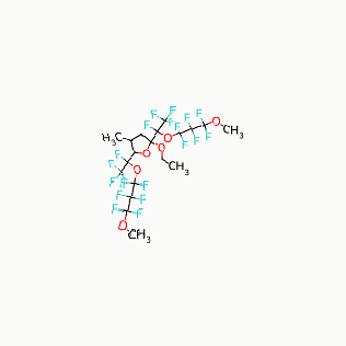 CCOC1(C(F)(OC(F)(F)C(F)(F)C(F)(F)OC)C(F)(F)F)CC(C)C(C(F)(OC(F)(F)C(F)(F)C(F)(F)OC)C(F)(F)F)O1